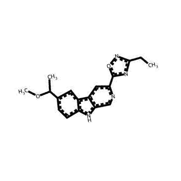 CCc1noc(-c2cc3c(cn2)[nH]c2ccc(C(C)OC)cc23)n1